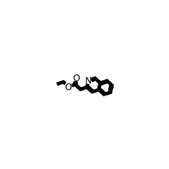 CCOC(=O)Cc1cc2ccccc2cn1